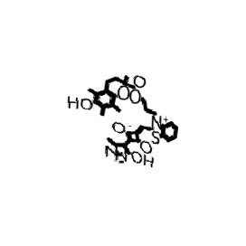 Cc1nn(C)c(O)c1C1=C([O-])/C(=C/c2sc3ccccc3[n+]2CCCOC(=O)C2(C)CCc3c(C)c(O)c(C)c(C)c3O2)C1=O